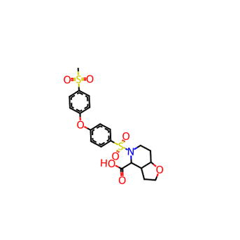 CS(=O)(=O)c1ccc(Oc2ccc(S(=O)(=O)N3CCC4OCCC4C3C(=O)O)cc2)cc1